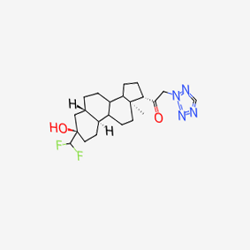 C[C@]12CCC3C(CC[C@H]4C[C@@](O)(C(F)F)CC[C@H]34)C1CC[C@@H]2C(=O)Cn1ncnn1